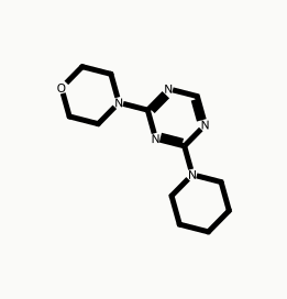 c1nc(N2CCCCC2)nc(N2CCOCC2)n1